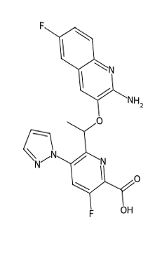 CC(Oc1cc2cc(F)ccc2nc1N)c1nc(C(=O)O)c(F)cc1-n1cccn1